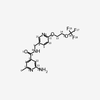 Cc1cc(C(=O)NCc2ccc(OCCOC(F)(F)F)nc2)cc(N)n1